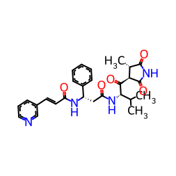 CC(C)[C@H](NC(=O)C[C@H](NC(=O)/C=C/c1cccnc1)c1ccccc1)C(=O)[C@@H]1C(=O)NC(=O)[C@H]1C